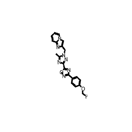 Cc1nc(-c2nc(-c3ccc(OCF)cc3)no2)nn1Cc1cn2ccccc2n1